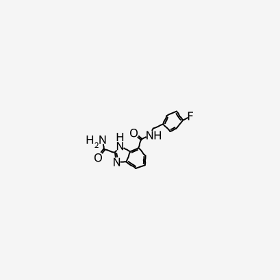 NC(=O)c1nc2cccc(C(=O)NCc3ccc(F)cc3)c2[nH]1